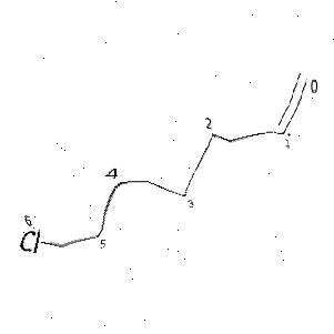 C=[C]CCCCCl